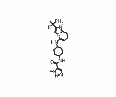 Cn1nncc1C(=O)NC1CCC(NC2=CCCc3nc(C(C)(F)P)cn32)CC1